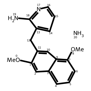 COc1cc2cccc(OC)c2cc1Cc1cccnc1N.N